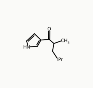 CC(C)CC(C)C(=O)c1cc[nH]c1